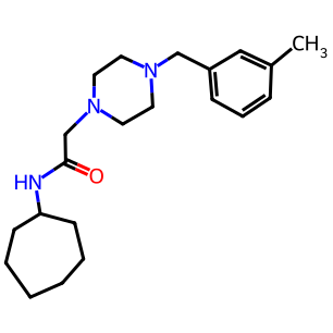 Cc1cccc(CN2CCN(CC(=O)NC3CCCCCC3)CC2)c1